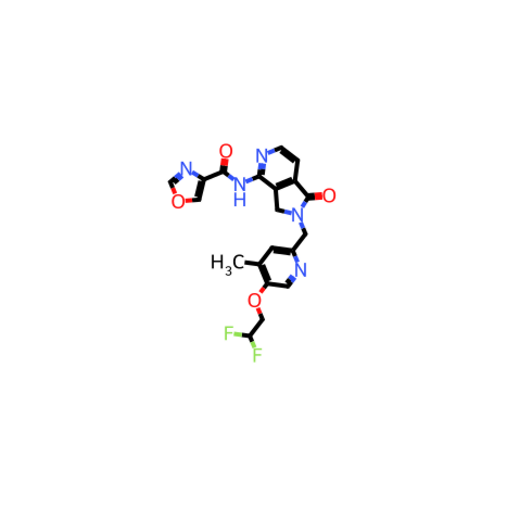 Cc1cc(CN2Cc3c(ccnc3NC(=O)c3cocn3)C2=O)ncc1OCC(F)F